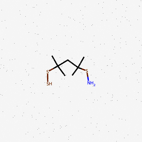 CC(C)(CC(C)(C)SS)SN